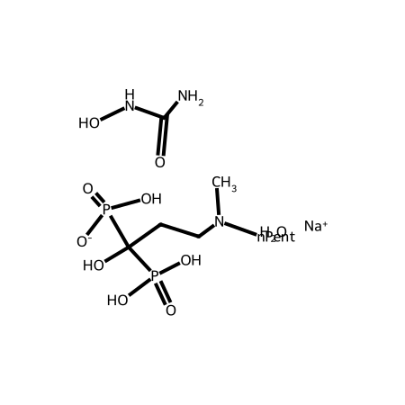 CCCCCN(C)CCC(O)(P(=O)([O-])O)P(=O)(O)O.NC(=O)NO.O.[Na+]